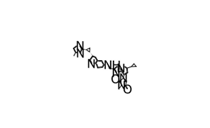 Cc1ccnc([C@H]2C[C@@H]2c2cnc3ccc(NCc4cn5cc(C6CC6)cc(N6CC(=O)N(C)C6=O)c5n4)cc3c2)n1